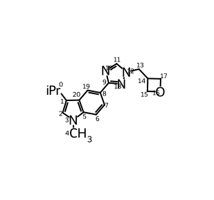 CC(C)c1cn(C)c2ccc(-c3ncn(CC4COC4)n3)cc12